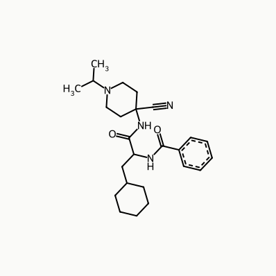 CC(C)N1CCC(C#N)(NC(=O)C(CC2CCCCC2)NC(=O)c2ccccc2)CC1